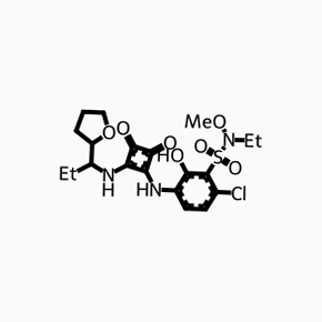 CCC(Nc1c(Nc2ccc(Cl)c(S(=O)(=O)N(CC)OC)c2O)c(=O)c1=O)C1CCCO1